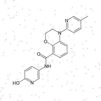 Cc1ccc(N2CCOc3c(C(=O)Nc4ccc(O)nc4)cccc32)nc1